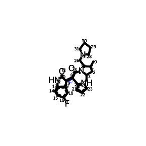 CC1CC(C)N(C(=O)/C(=C2\C(=O)Nc3ccc(F)cc32)c2ccc[nH]2)C1CN1CCCC1